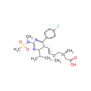 CC(C)C1N=C(N(C)S(C)(=O)=O)N=C(c2ccc(F)cc2)C1/C=C/[C@@H](C)C[C@@H](C)CC(=O)O